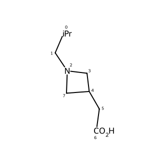 CC(C)CN1CC(CC(=O)O)C1